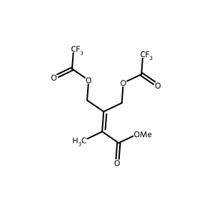 COC(=O)C(C)=C(COC(=O)C(F)(F)F)COC(=O)C(F)(F)F